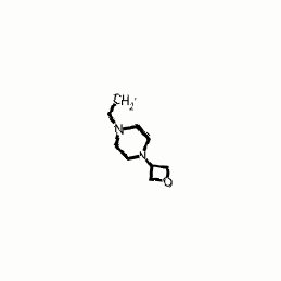 [CH2]CN1CCN(C2COC2)CC1